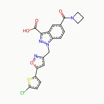 O=C(O)c1nn(Cc2cc(-c3ccc(Cl)s3)on2)c2ccc(C(=O)N3CCC3)cc12